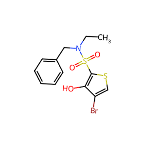 CCN(Cc1ccccc1)S(=O)(=O)c1scc(Br)c1O